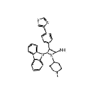 CN1CCC(N2C(N)C(c3ccc(-c4cscn4)cc3)C2n2c3ccccc3c3ccccc32)CC1